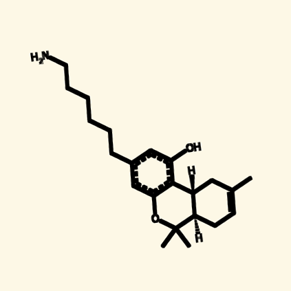 CC1=CC[C@@H]2[C@@H](C1)c1c(O)cc(CCCCCCN)cc1OC2(C)C